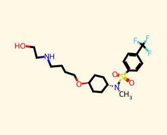 CN([C@H]1CC[C@H](OCCCCNCCO)CC1)S(=O)(=O)c1ccc(C(F)(F)F)cc1